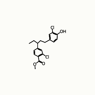 CCC(CCc1ccc(O)c(Cl)c1)c1ccc(C(=O)OC)c(Cl)c1